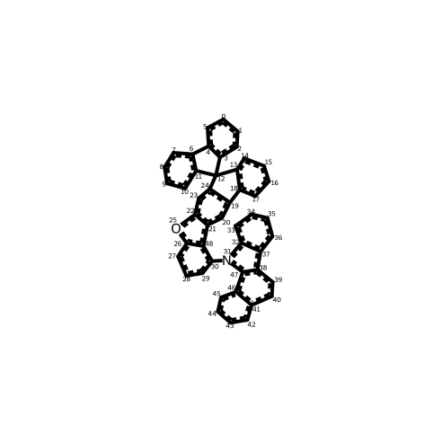 c1ccc2c(c1)-c1ccccc1C21c2ccccc2-c2cc3c(cc21)oc1cccc(-n2c4ccccc4c4ccc5ccccc5c42)c13